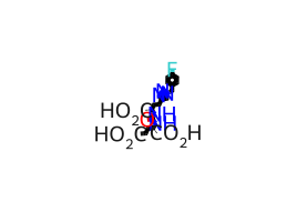 O=C(O)CC[C@H](NC(=O)N[C@@H](CCc1cn(Cc2ccc(F)cc2)nn1)C(=O)O)C(=O)O